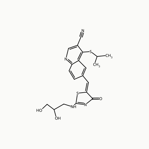 CC(C)Sc1c(C#N)cnc2ccc(/C=C3\SC(NCC(O)CO)=NC3=O)cc12